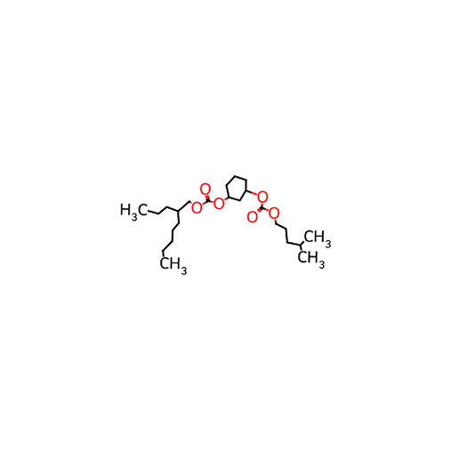 CCCCCC(CCC)COC(=O)OC1CCCC(OC(=O)OCCCC(C)C)C1